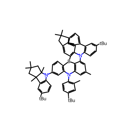 Cc1cc2c3c(c1)N(c1ccc(C(C)(C)C)cc1-c1ccccc1)c1cc4c(cc1B3c1ccc(N3c5ccc(C(C)(C)C)cc5C5(C)CC(C)(C)CC35C)cc1N2c1ccc(C(C)(C)C)cc1C)CC(C)(C)C4